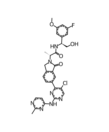 COc1cc(F)cc([C@@H](CO)NC(=O)[C@@H](C)N2Cc3ccc(-c4nc(Nc5ccnc(C)n5)ncc4Cl)cc3C2=O)c1